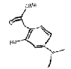 COC(=O)c1ccc(N(C)C)cc1O